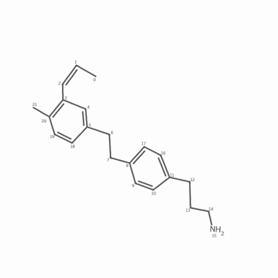 C/C=C\c1cc(CCc2ccc(CCCN)cc2)ccc1C